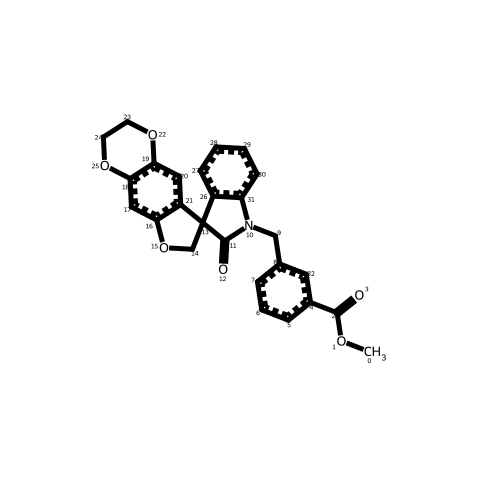 COC(=O)c1cccc(CN2C(=O)C3(COc4cc5c(cc43)OCCO5)c3ccccc32)c1